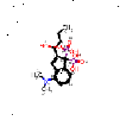 CCCC(O)C1=Cc2c(N(C)C)cccc2C1(P(=O)(O)O)P(=O)(O)O